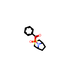 O=C(ON1C2CCC1CS(=O)(=O)C2)c1ccccc1